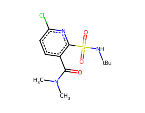 CN(C)C(=O)c1ccc(Cl)nc1S(=O)(=O)NC(C)(C)C